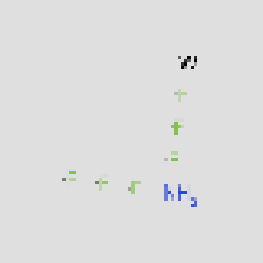 N.[F].[F].[F].[F].[F].[F].[W]